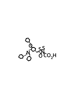 O=C(O)CN1C(=O)/C(=C/c2ccc(OCc3ccccc3)c(CN(CCc3ccccc3)Cc3ccccc3)c2)SC1=S